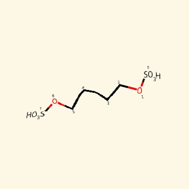 O=S(=O)(O)OCCCCOS(=O)(=O)O